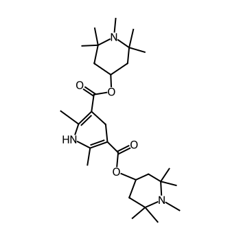 CC1=C(C(=O)OC2CC(C)(C)N(C)C(C)(C)C2)CC(C(=O)OC2CC(C)(C)N(C)C(C)(C)C2)=C(C)N1